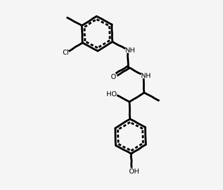 Cc1ccc(NC(=O)NC(C)C(O)c2ccc(O)cc2)cc1Cl